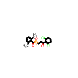 Cc1cccc(C)c1C(=O)[PH](=O)CCC(=O)c1c(Cl)cccc1Cl